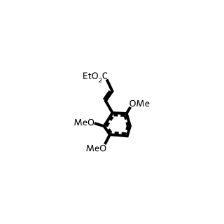 CCOC(=O)/C=C/c1c(OC)ccc(OC)c1OC